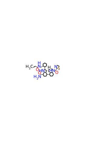 CC=CC(=O)NCc1ccccc1-c1cc2c(-c3cccc(NC(=O)c4nccs4)c3C)ccc(C(N)=O)c2[nH]1